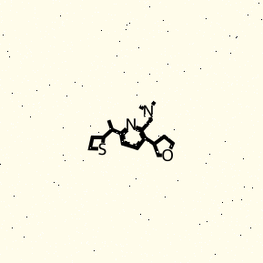 CC(c1ccc(C2CCOC2)c(CN(C)C)n1)C1CCS1